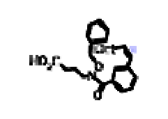 CCCCCCCC/C=C\c1cccc(C(=O)N(CCCC(=O)O)OCc2ccccc2)c1